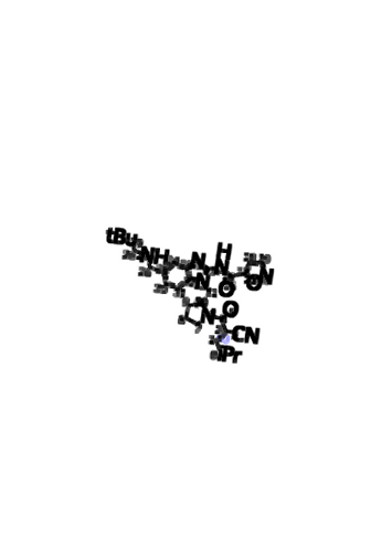 CC(C)/C=C(\C#N)C(=O)N1CCC[C@@H]1Cn1c(NC(=O)c2ccno2)nc2cc(CNCC(C)(C)C)ccc21